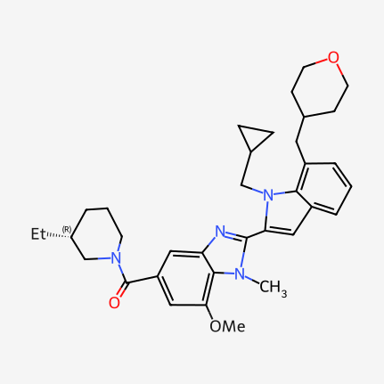 CC[C@@H]1CCCN(C(=O)c2cc(OC)c3c(c2)nc(-c2cc4cccc(CC5CCOCC5)c4n2CC2CC2)n3C)C1